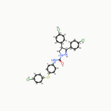 O=C(Nc1ccc(Sc2ccc(Cl)cc2)cc1)N1CC(c2ccc(Cl)cc2)C(c2ccc(Cl)cc2)=N1